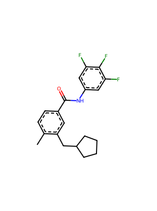 Cc1ccc(C(=O)Nc2cc(F)c(F)c(F)c2)cc1CC1CCCC1